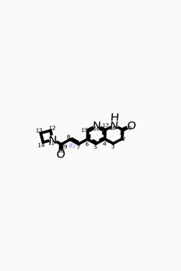 O=C1CCc2cc(/C=C/C(=O)N3CCC3)cnc2N1